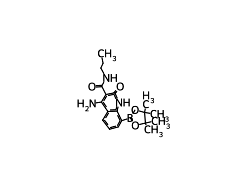 CCCNC(=O)c1c(N)c2cccc(B3OC(C)(C)C(C)(C)O3)c2[nH]c1=O